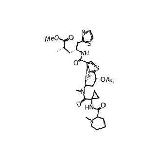 COC(=O)[C@@H](C)C[C@H](Cc1nccs1)NC(=O)c1csc([C@@H](C[C@H](C(C)C)N(C)C(=O)C2(NC(=O)[C@H]3CCCCN3C)CC2)OC(C)=O)n1